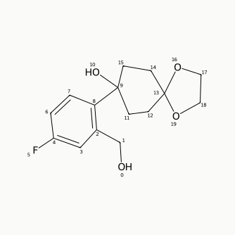 OCc1cc(F)ccc1C1(O)CCC2(CC1)OCCO2